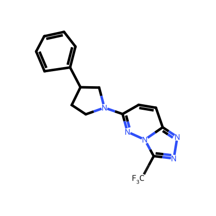 FC(F)(F)c1nnc2ccc(N3CCC(c4ccccc4)C3)nn12